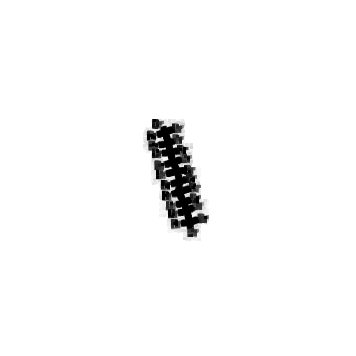 BrC(Br)(Br)C(Br)(Br)C(Br)(Br)C(Br)(Br)C(Br)(Br)C(Br)(Br)C(Br)(Br)C(Br)(Br)C(Br)(Br)C(Br)(Br)Br